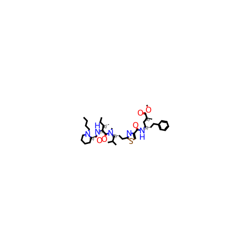 CCCCN1CCCC[C@@H]1C(=O)N[C@H](C(=O)N(C)[C@H](CCc1nc(C(=O)N[C@@H](CCc2ccccc2)C[C@H](C)C(=O)OC)cs1)C(C)C)[C@@H](C)CC